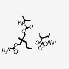 CCCC(C)(COC(N)=O)COC(=O)NC(C)C.O=S(=O)([O-])C(I)I.[Na+]